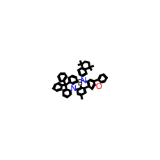 Cc1cc2c3c(c1)N1c4ccccc4C(c4ccccc4)(c4ccccc4)c4cccc(c41)B3N(c1ccc3c(c1)C(C)(C)CCC3(C)C)c1cc3c(cc1-2)oc1ccccc13